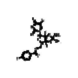 CC1(C)O[C@@H]2[C@H](O1)[C@@H](COC(=O)c1ccc(F)cc1)O[C@H]2n1cc(Br)c(=O)[nH]c1=O